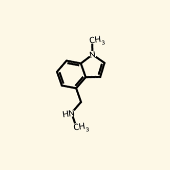 CNCc1cccc2c1ccn2C